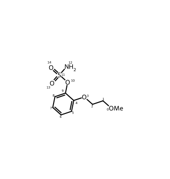 COCCOc1ccccc1OS(N)(=O)=O